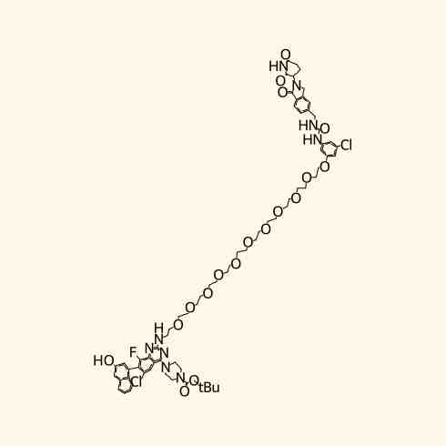 CC(C)(C)OC(=O)N1CCN(c2nc(NCCOCCOCCOCCOCCOCCOCCOCCOCCOCCOCCOc3cc(Cl)cc(NC(=O)NCc4ccc5c(c4)CN(C4CCC(=O)NC4=O)C5=O)c3)nc3c(F)c(-c4cc(O)cc5ccccc45)c(Cl)cc23)CC1